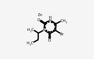 CCC(C)n1c(=O)[nH]c(C)c(Br)c1=O.[Zn]